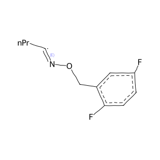 CCC/[C]=N/OCc1cc(F)ccc1F